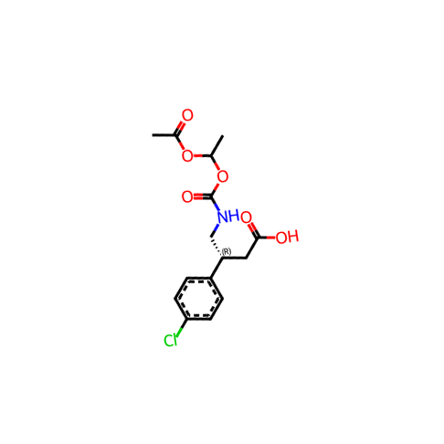 CC(=O)OC(C)OC(=O)NC[C@H](CC(=O)O)c1ccc(Cl)cc1